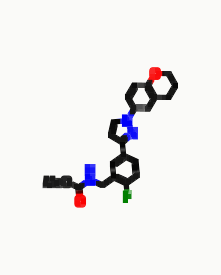 COC(=O)NCc1cc(-c2ccn(-c3ccc4c(c3)CCCO4)n2)ccc1F